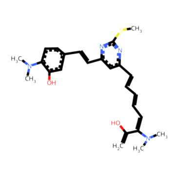 C=C(O)\C(=C/C=C/C=C/c1cc(/C=C/c2ccc(N(C)C)c(O)c2)nc(SC)n1)N(C)C